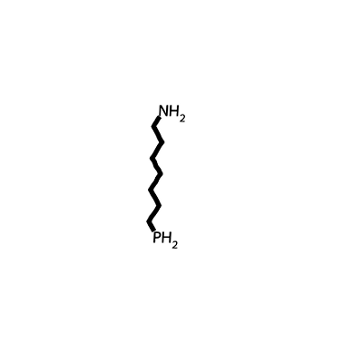 NCCCCCCCP